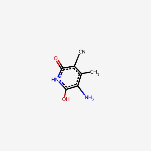 Cc1c(N)c(O)[nH]c(=O)c1C#N